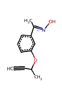 C#CC(C)Oc1cccc(/C(C)=N/O)c1